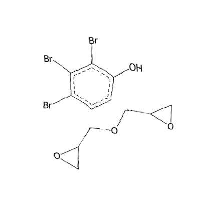 C(OCC1CO1)C1CO1.Oc1ccc(Br)c(Br)c1Br